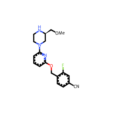 COC[C@H]1CN(c2cccc(OCc3ccc(C#N)cc3F)n2)CCN1